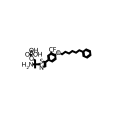 CC(N)(COP(=O)(O)O)c1ncc(-c2ccc(OCCCCCCc3ccccc3)c(C(F)(F)F)c2)s1